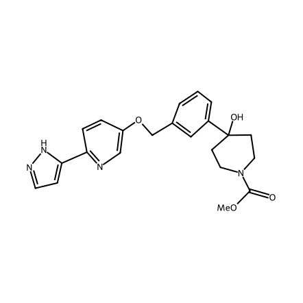 COC(=O)N1CCC(O)(c2cccc(COc3ccc(-c4ccn[nH]4)nc3)c2)CC1